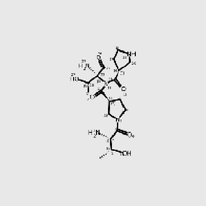 C[C@@H](O)[C@H](N)C(=O)N1CC[C@H](C(=O)N(C(=O)[C@H]2CCNC2)[C@](N)(C=O)[C@@H](C)O)C1